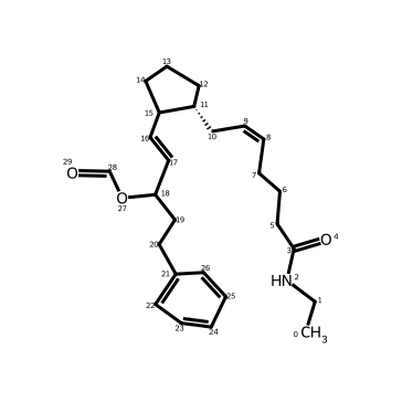 CCNC(=O)CCC/C=C\C[C@H]1CCCC1/C=C/C(CCc1ccccc1)OC=O